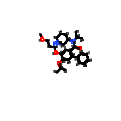 COCCCOc1cc(C(=O)N(C(C)C)[C@@H]2CCCNC2)c(-c2ccccc2)cc1OC(C)C